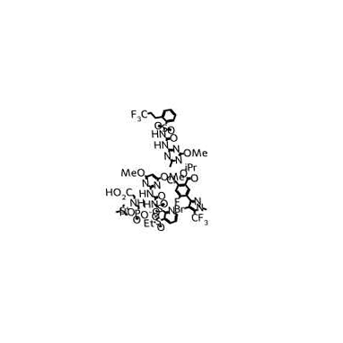 CC(C)OC(=O)c1cc(-c2nn(C)c(C(F)(F)F)c2Br)c(F)cc1Cl.CCS(=O)(=O)c1cccnc1S(=O)(=O)NC(=O)Nc1nc(OC)cc(OC)n1.COc1nc(C)nc(NC(=O)NS(=O)(=O)c2ccccc2CCC(F)(F)F)n1.C[S+](C)C.O=C(O)CNCP(=O)([O-])O